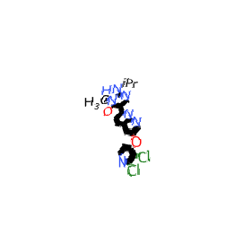 CC(C)Nc1ncc(-c2ccc3cc(Oc4ccnc(Cl)c4Cl)cnc3n2)c(=O)n1C